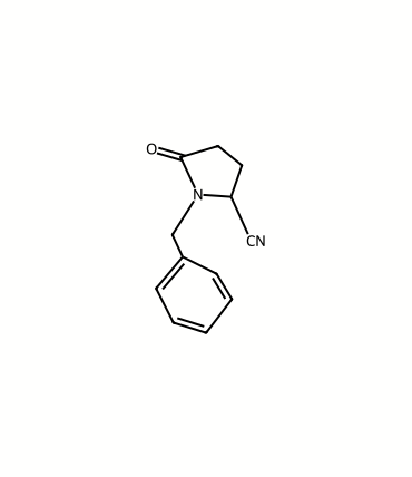 N#CC1CCC(=O)N1Cc1ccccc1